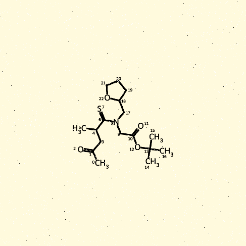 CC(=O)CC(C)C(=S)N(CC(=O)OC(C)(C)C)CC1CCCO1